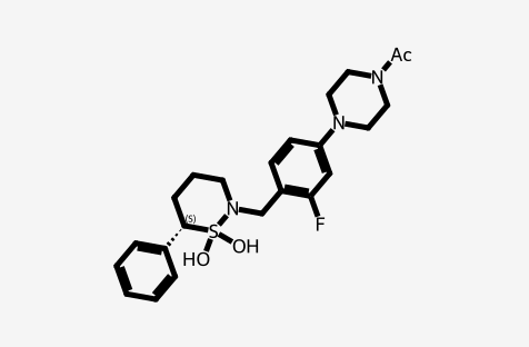 CC(=O)N1CCN(c2ccc(CN3CCC[C@@H](c4ccccc4)S3(O)O)c(F)c2)CC1